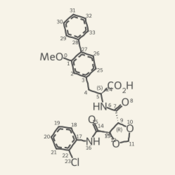 COc1cc(C[C@H](NC(=O)[C@@H]2OCO[C@H]2C(=O)Nc2ccccc2Cl)C(=O)O)ccc1-c1ccccc1